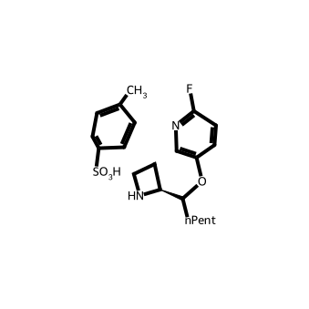 CCCCCC(Oc1ccc(F)nc1)[C@@H]1CCN1.Cc1ccc(S(=O)(=O)O)cc1